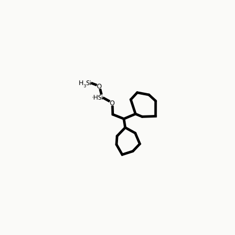 [SiH3]O[SiH]OCC(C1CCCCCC1)C1CCCCCC1